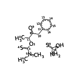 CC(OC(=S)N(C)C)C(=O)Cc1ccccc1.NC(O)=S